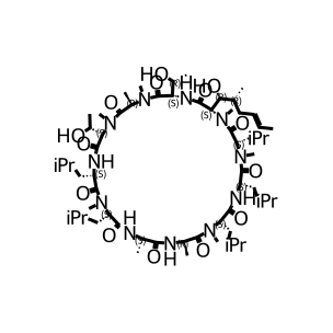 CC=CC[C@@H](C)[C@@H](O)[C@H]1C(=O)N[C@@H]([C@@H](C)O)C(=O)N(C)[C@H](C)C(=O)N(C)[C@@H](C(C)O)C(=O)N[C@@H](CC(C)C)C(=O)N(C)[C@@H](CC(C)C)C(=O)N[C@@H](C)C(=O)N[C@H](C)C(=O)N(C)[C@@H](CC(C)C)C(=O)N[C@@H](CC(C)C)C(=O)N(C)[C@@H](C(C)C)C(=O)N1C